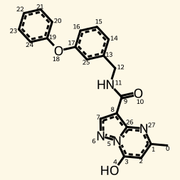 Cc1cc(O)n2ncc(C(=O)NCc3cccc(Oc4ccccc4)c3)c2n1